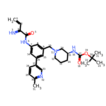 C=CC(=N)C(=O)Nc1cc(CN2CCC[C@H](NC(=O)OC(C)(C)C)C2)cc(-c2ccc(C)nc2)c1